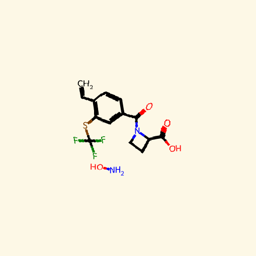 C=Cc1ccc(C(=O)N2CCC2C(=O)O)cc1SC(F)(F)F.NO